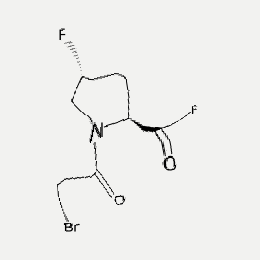 O=C(F)[C@@H]1C[C@@H](F)CN1C(=O)CBr